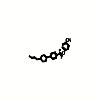 CC=CCC1CCC(c2ccc(C(F)(F)Oc3ccc(C#N)cc3)cc2)CC1